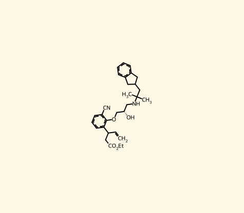 C=CC(CC(=O)OCC)c1cccc(C#N)c1OC[C@@H](O)CNC(C)(C)CC1Cc2ccccc2C1